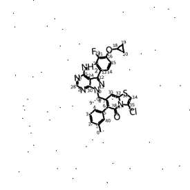 Cc1cccc(-c2c([C@H](C)n3nc(-c4ccc(OC5CC5)c(F)c4)c4c(N)ncnc43)cc3scc(Cl)n3c2=O)c1